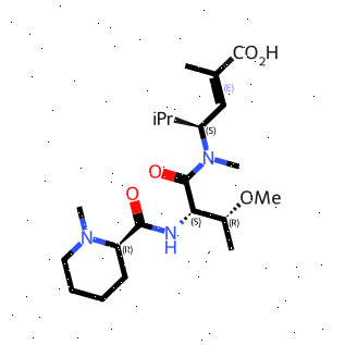 CO[C@H](C)[C@H](NC(=O)[C@H]1CCCCN1C)C(=O)N(C)[C@H](/C=C(\C)C(=O)O)C(C)C